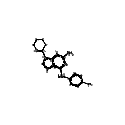 Nc1ccc(Nc2nc(N)nc3c2ncn3C2CCCCO2)cc1